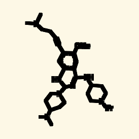 COc1cc2c(cc1C#CCCN(C)C)NC(N1CCC(N(C)C)CC1)N=C2NC1CCN(C(C)C)CC1